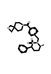 C[C@H]1CCC(c2ccccc2)S(=O)(=O)N1Cc1ccc(C(=O)N2CCC3(CC2)COC3)cc1